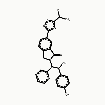 CC(F)c1nnc(-c2ccc3c(c2)C(=O)N([C@H](c2cnccn2)[C@@H](O)c2ccc(O)cc2)C3)o1